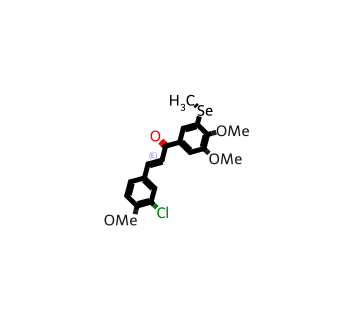 COc1ccc(/C=C/C(=O)c2cc(OC)c(OC)c([Se]C)c2)cc1Cl